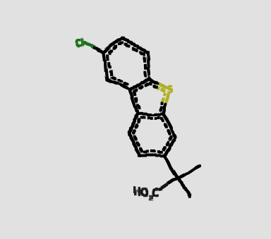 CC(C)(C(=O)O)c1ccc2c(c1)sc1ccc(Cl)cc12